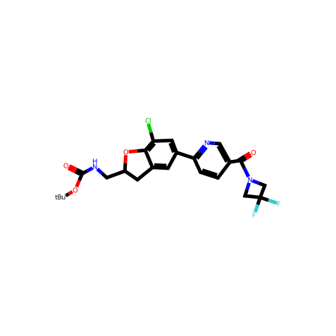 CC(C)(C)OC(=O)NCC1Cc2cc(-c3ccc(C(=O)N4CC(F)(F)C4)cn3)cc(Cl)c2O1